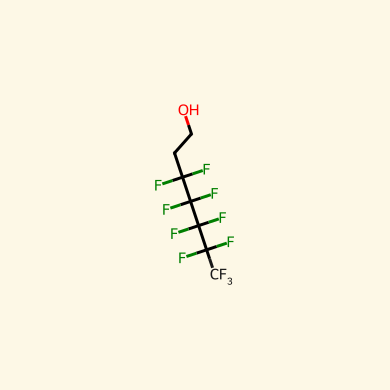 OCCC(F)(F)C(F)(F)C(F)(F)C(F)(F)C(F)(F)F